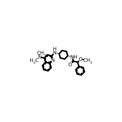 COC(C(=O)N[C@H]1CC[C@@H](Nc2cc(N(C)C)c3ccccc3n2)CC1)c1ccccc1